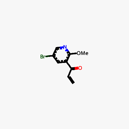 C=CC(=O)c1cc(Br)cnc1OC